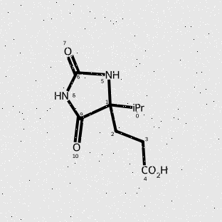 CC(C)C1(CCC(=O)O)NC(=O)NC1=O